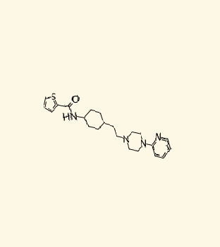 O=C(NC1CCC(CCN2CCN(c3ccccn3)CC2)CC1)c1cccs1